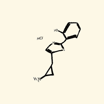 Cl.NC1CC1c1cnc(-c2ccccc2O)s1